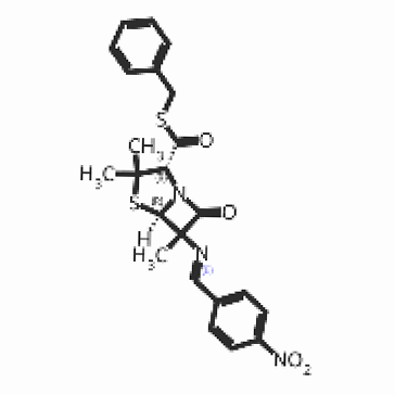 CC1(C)S[C@H]2N(C(=O)C2(C)/N=C/c2ccc([N+](=O)[O-])cc2)[C@H]1C(=O)SCc1ccccc1